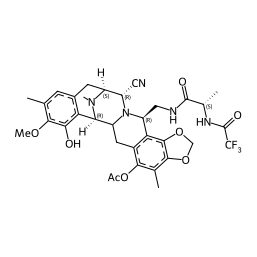 COc1c(C)cc2c(c1O)[C@@H]1C3Cc4c(OC(C)=O)c(C)c5c(c4[C@H](CNC(=O)[C@H](C)NC(=O)C(F)(F)F)N3[C@@H](C#N)[C@H](C2)N1C)OCO5